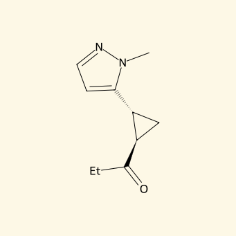 CCC(=O)[C@@H]1C[C@H]1c1ccnn1C